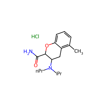 CCCN(C(C)C)C1Cc2c(C)cccc2OC1C(N)=O.Cl